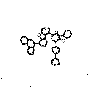 c1ccc(-c2ccc(-c3nc(-c4cccc5oc6c(-c7cc8ccccc8c8ccccc78)cccc6c45)nc4c3oc3ccccc34)cc2)cc1